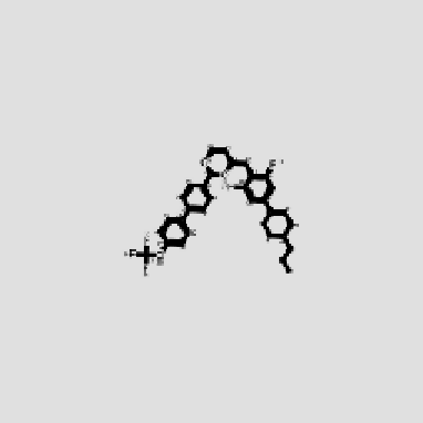 CCCC1CCC(c2cc(F)c(CC3CCOC(c4ccc(-c5ccc(OC(F)(F)F)cc5)cc4)O3)c(F)c2)CC1